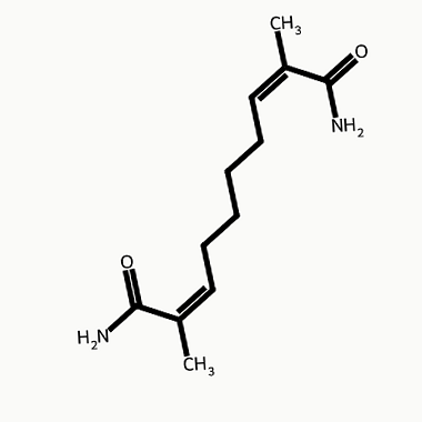 CC(=CCCCCC=C(C)C(N)=O)C(N)=O